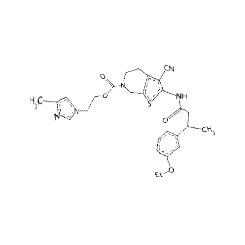 CCOc1cccc(C(C)CC(=O)Nc2sc3c(c2C#N)CCN(C(=O)OCCn2cnc(C)c2)C3)c1